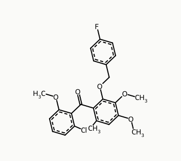 COc1cc(C)c(C(=O)c2c(Cl)cccc2OC)c(OCc2ccc(F)cc2)c1OC